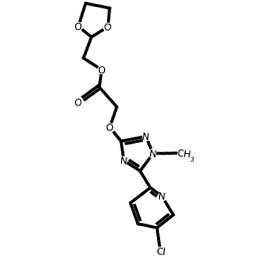 Cn1nc(OCC(=O)OCC2OCCO2)nc1-c1ccc(Cl)cn1